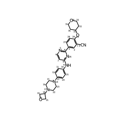 N#Cc1cc(-c2nccc(Nc3ccc(N4CCN(C5COC5)CC4)cc3)n2)ccc1OC1CCOCC1